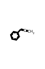 C=C=Cc1[c]cccc1